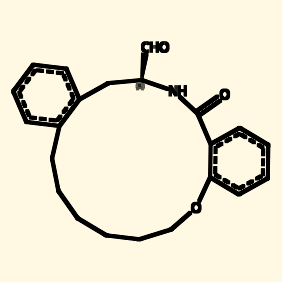 O=C[C@@H]1Cc2ccccc2CCCCCCOc2ccccc2C(=O)N1